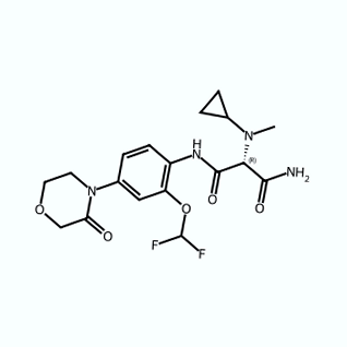 CN(C1CC1)[C@H](C(N)=O)C(=O)Nc1ccc(N2CCOCC2=O)cc1OC(F)F